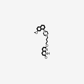 COc1ccc2cccc(N3CCN(CCCCOc4ccc5ccc(=O)[nH]c5n4)CC3)c2c1